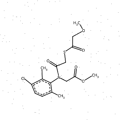 COCC(=O)SCC(=O)N(CC(=O)OC)c1c(C)ccc(Cl)c1C